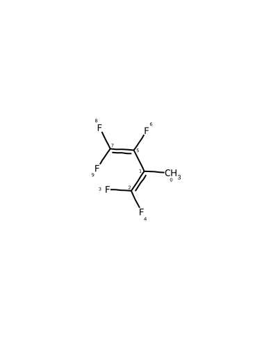 CC(=C(F)F)C(F)=C(F)F